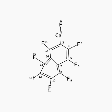 [F][Ca][c]1c(F)c(F)c2c(F)c(F)c(F)c(F)c2c1F